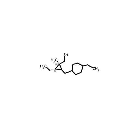 CCC1CCC(CC2[C@H](CC)[C@@]2(C)CS)CC1